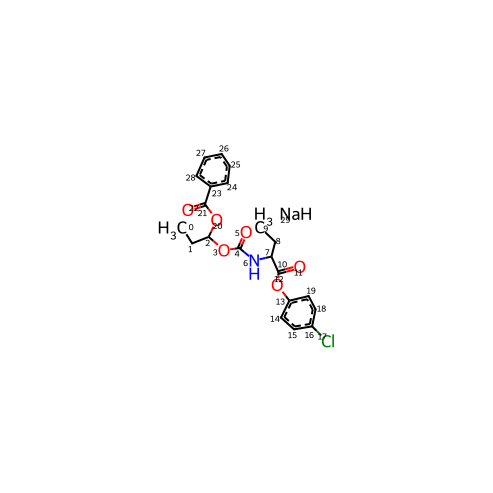 CCC(OC(=O)NC(CC)C(=O)Oc1ccc(Cl)cc1)OC(=O)c1ccccc1.[NaH]